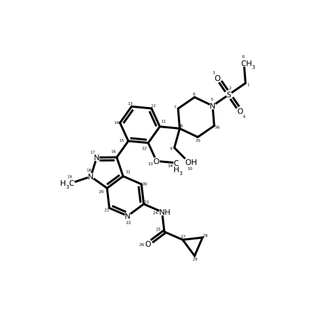 CCS(=O)(=O)N1CCC(CO)(c2cccc(-c3nn(C)c4cnc(NC(=O)C5CC5)cc34)c2OC)CC1